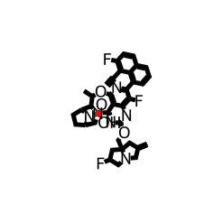 C#Cc1c(F)ccc2cccc(-c3nc4c5c(nc(OCC67CC(=C)CN6CC(F)C7)nc5c3F)N3CC5CCC(C3C(C)O4)N5C(=O)O)c12